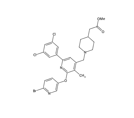 COC(=O)CC1CCN(Cc2cc(-c3cc(Cl)cc(Cl)c3)nc(Oc3ccc(Br)nc3)c2C)CC1